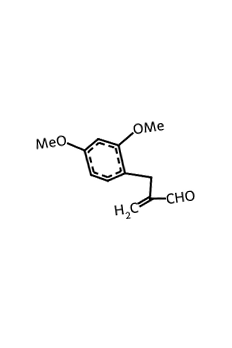 C=C(C=O)Cc1ccc(OC)cc1OC